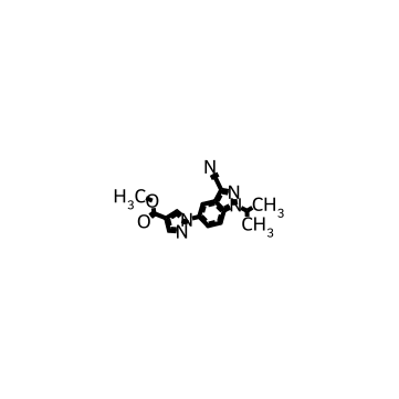 COC(=O)c1cnn(-c2ccc3c(c2)c(C#N)nn3C(C)C)c1